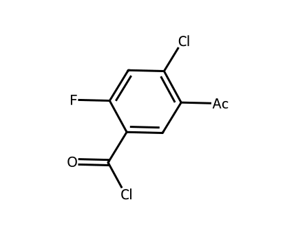 CC(=O)c1cc(C(=O)Cl)c(F)cc1Cl